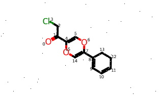 O=C(CCl)C1=COC(C2=CC=CCC2)=CO1